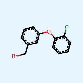 Clc1ccccc1Oc1cccc(CBr)c1